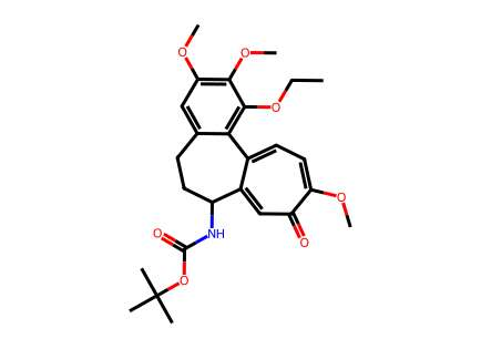 CCOc1c(OC)c(OC)cc2c1-c1ccc(OC)c(=O)cc1C(NC(=O)OC(C)(C)C)CC2